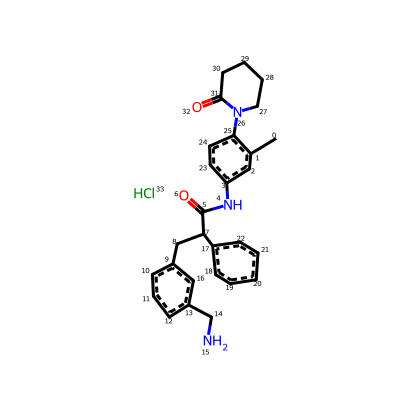 Cc1cc(NC(=O)C(Cc2cccc(CN)c2)c2ccccc2)ccc1N1CCCCC1=O.Cl